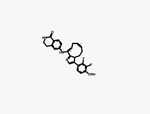 COc1ccc(C2=CN=C3/C(Nc4ccc5c(c4)CCNC5=O)=C/C/C=C\CCC23)c(F)c1F